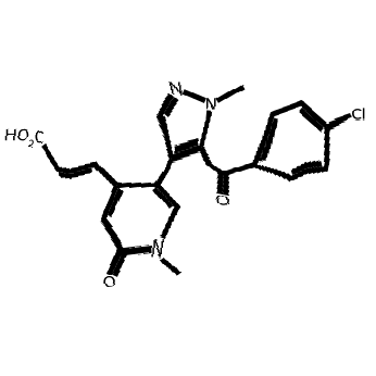 Cn1ncc(-c2cn(C)c(=O)cc2C=CC(=O)O)c1C(=O)c1ccc(Cl)cc1